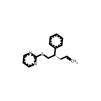 C=CC[C@H](CSc1ncccn1)c1ccccc1